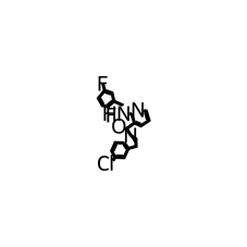 O=C(c1cccnc1NCc1cc(F)ccc1F)N1CCc2cc(Cl)ccc21